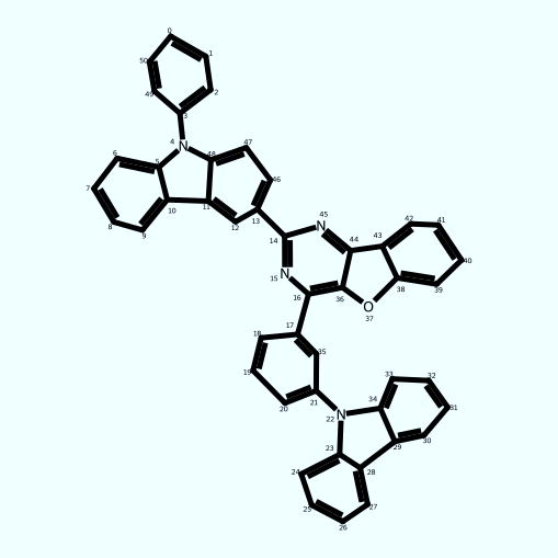 c1ccc(-n2c3ccccc3c3cc(-c4nc(-c5cccc(-n6c7ccccc7c7ccccc76)c5)c5oc6ccccc6c5n4)ccc32)cc1